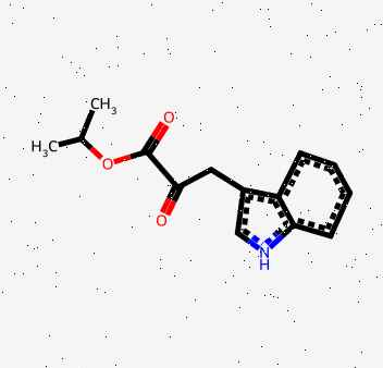 CC(C)OC(=O)C(=O)Cc1c[nH]c2ccccc12